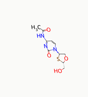 CC(=O)Nc1ccn([C@H]2CO[C@H](CO)S2)c(=O)n1